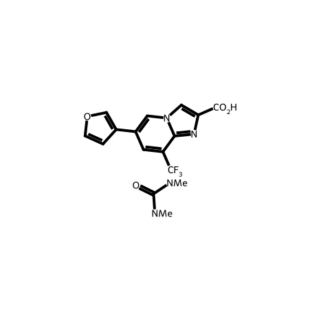 CNC(=O)NC.O=C(O)c1cn2cc(-c3ccoc3)cc(C(F)(F)F)c2n1